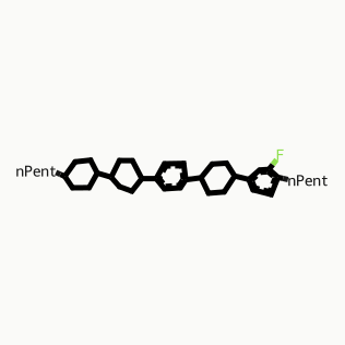 CCCCCc1ccc(C2CCC(c3ccc(C4CCC(C5CCC(CCCCC)CC5)CC4)cc3)CC2)cc1F